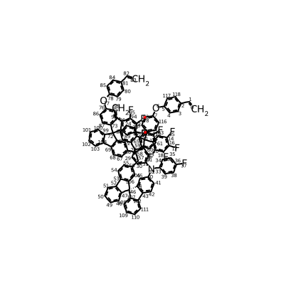 C=Cc1ccc(Oc2ccc(C3(c4cc(F)c(F)c(F)c4F)c4ccccc4-c4ccc(N(c5ccc(F)cc5)c5ccc6c(c5)[C@@]5(c7ccccc7-c7ccc(CC(c8ccc(F)cc8)c8ccc9c(c8)C(c8ccc(Oc%10ccc(C=C)cc%10)cc8)(c8cc(F)c(F)c(F)c8C=C)c8ccccc8-9)cc75)c5ccccc5-6)cc43)cc2)cc1